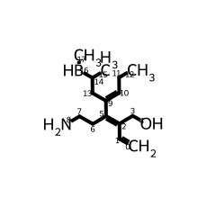 C=C/C(CO)=C(CCN)/C(=C/CC)CC(C)BC